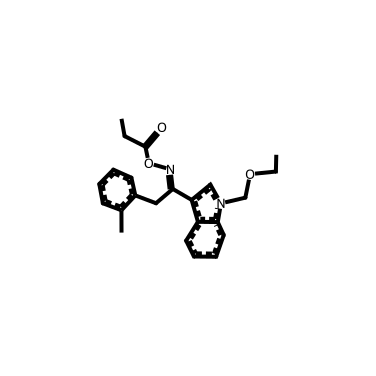 CCOCn1cc(/C(Cc2ccccc2C)=N/OC(=O)CC)c2ccccc21